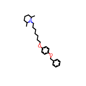 CC1CCCC(C)N1CCCCCCCOc1ccc(OCc2ccccc2)cc1